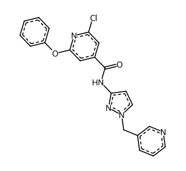 O=C(Nc1ccn(Cc2cccnc2)n1)c1cc(Cl)nc(Oc2ccccc2)c1